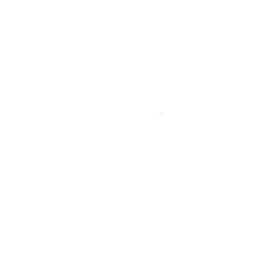 Cc1ccccc1Cc1cccn1C